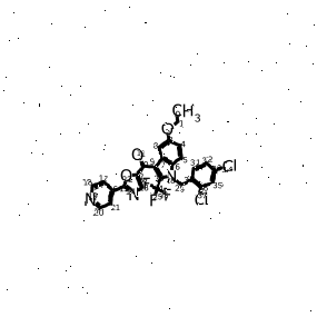 CCOc1ccc2c(c1)c(C(=O)c1cnc(-c3ccncc3)o1)c(C(F)(F)F)n2Cc1ccc(Cl)cc1Cl